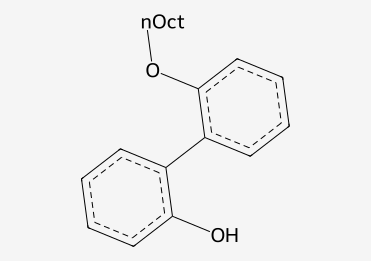 CCCCCCCCOc1ccccc1-c1ccccc1O